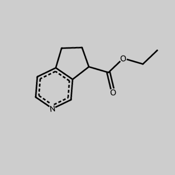 CCOC(=O)C1CCc2ccncc21